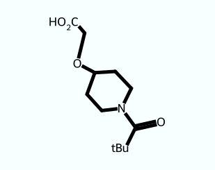 CC(C)(C)C(=O)N1CCC(OCC(=O)O)CC1